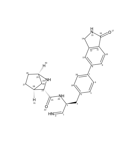 N=C[C@H](Cc1ccc(-c2ccc3c(c2)CNC3=O)cc1)NC(=O)[C@H]1N[C@@H]2CC[C@H]1C2